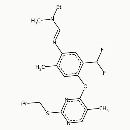 CCN(C)C=Nc1cc(C(F)F)c(Oc2nc(SCC(C)C)ncc2C)cc1C